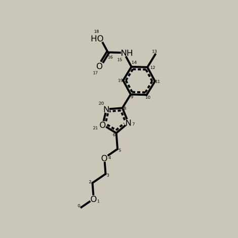 COCCOCc1nc(-c2ccc(C)c(NC(=O)O)c2)no1